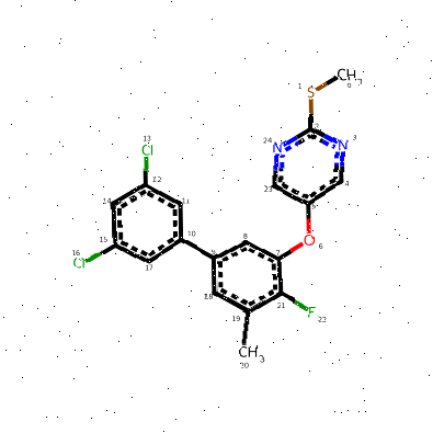 CSc1ncc(Oc2cc(-c3cc(Cl)cc(Cl)c3)cc(C)c2F)cn1